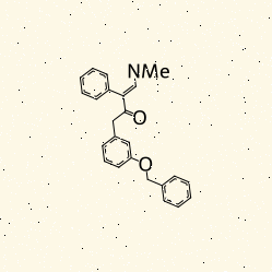 CNC=C(C(=O)Cc1cccc(OCc2ccccc2)c1)c1ccccc1